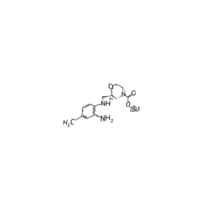 Cc1ccc(NC[C@@H]2CN(C(=O)OC(C)(C)C)CCO2)c(N)c1